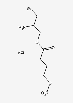 CC(C)CC(N)COC(=O)CCCO[N+](=O)[O-].Cl